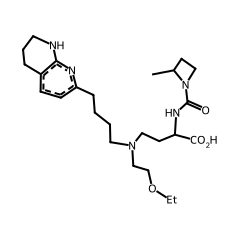 CCOCCN(CCCCc1ccc2c(n1)NCCC2)CCC(NC(=O)N1CCC1C)C(=O)O